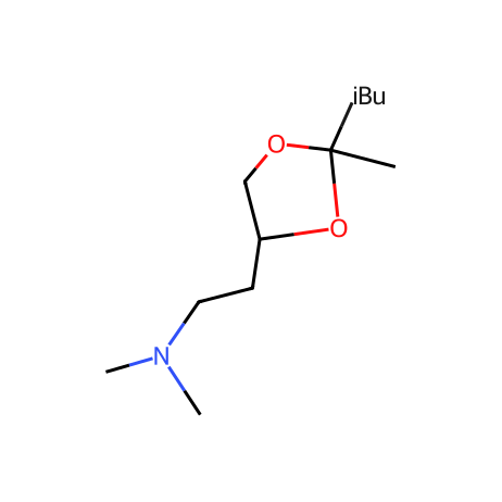 CCC(C)C1(C)OCC(CCN(C)C)O1